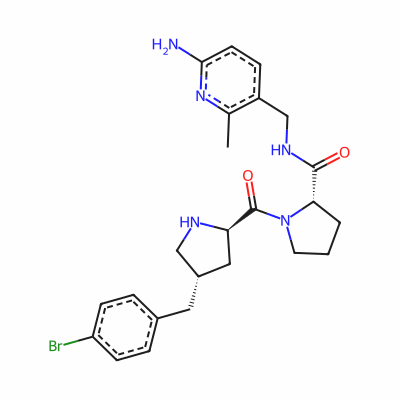 Cc1nc(N)ccc1CNC(=O)[C@@H]1CCCN1C(=O)[C@H]1C[C@H](Cc2ccc(Br)cc2)CN1